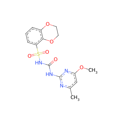 COc1cc(C)nc(NC(=O)NS(=O)(=O)c2cccc3c2OCCO3)n1